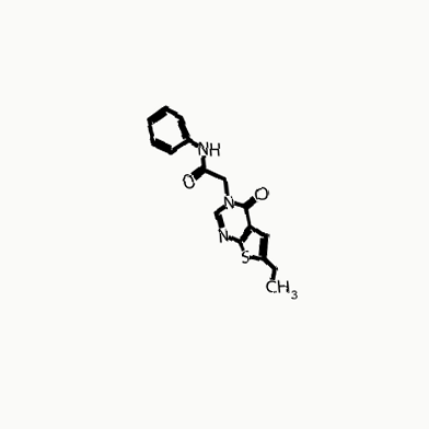 CCc1cc2c(=O)n(CC(=O)Nc3ccccc3)cnc2s1